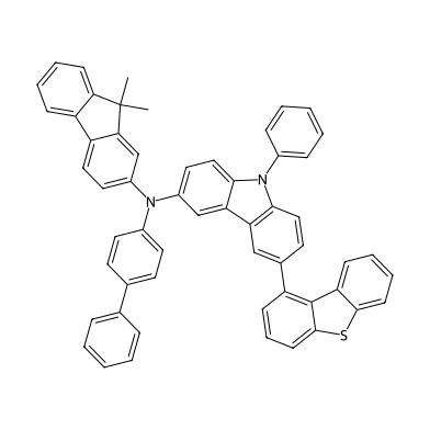 CC1(C)c2ccccc2-c2ccc(N(c3ccc(-c4ccccc4)cc3)c3ccc4c(c3)c3cc(-c5cccc6sc7ccccc7c56)ccc3n4-c3ccccc3)cc21